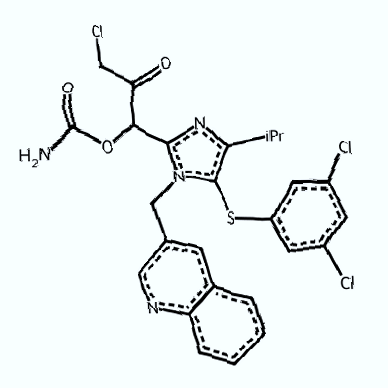 CC(C)c1nc(C(OC(N)=O)C(=O)CCl)n(Cc2cnc3ccccc3c2)c1Sc1cc(Cl)cc(Cl)c1